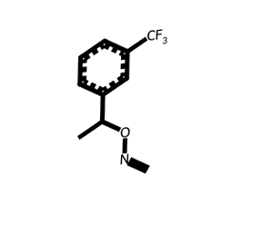 C=NOC(C)c1cccc(C(F)(F)F)c1